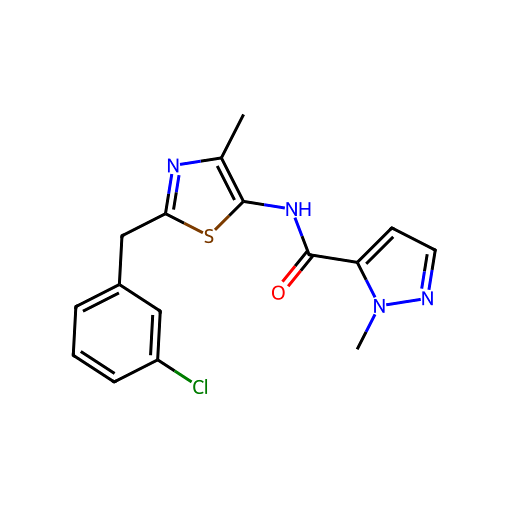 Cc1nc(Cc2cccc(Cl)c2)sc1NC(=O)c1ccnn1C